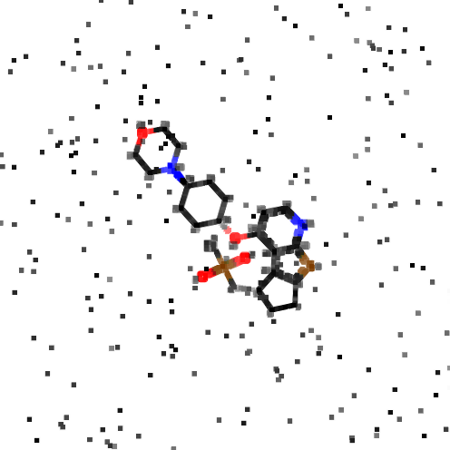 CCS(=O)(=O)C[C@H]1CCc2sc3nccc(O[C@H]4CC[C@H](N5CCOCC5)CC4)c3c21